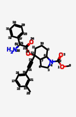 COC(=O)N1CCC2C1CCCC2(C#Cc1cccc(C)c1)OC(=O)[C@@H](N)c1ccccc1